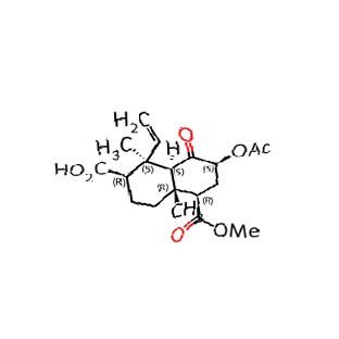 C=C[C@@]1(C)[C@H]2C(=O)[C@@H](OC(C)=O)C[C@@H](C(=O)OC)[C@]2(C)CC[C@H]1C(=O)O